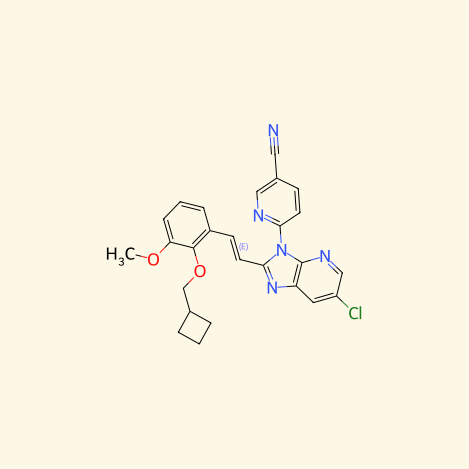 COc1cccc(/C=C/c2nc3cc(Cl)cnc3n2-c2ccc(C#N)cn2)c1OCC1CCC1